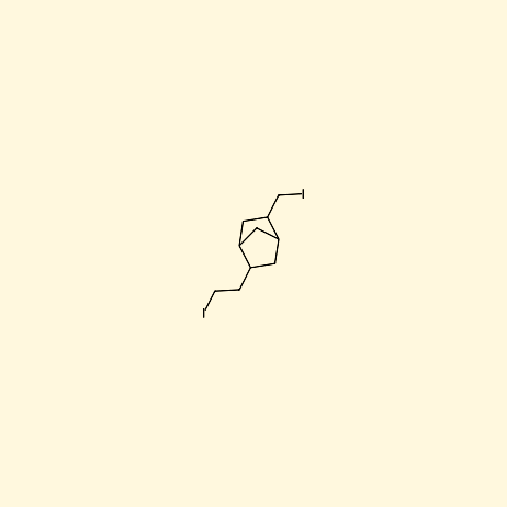 ICCC1CC2CC1CC2CI